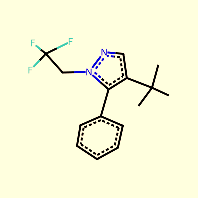 CC(C)(C)c1cnn(CC(F)(F)F)c1-c1ccccc1